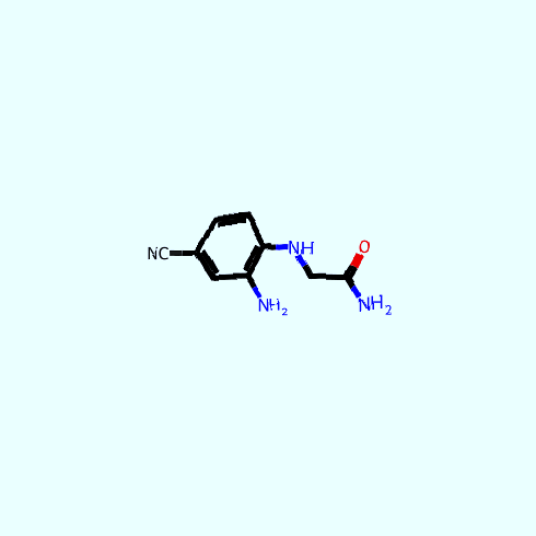 N#Cc1ccc(NCC(N)=O)c(N)c1